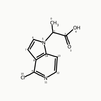 CC(C(=O)O)n1ccc2c(Cl)nccc21